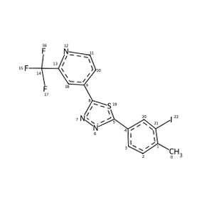 Cc1ccc(-c2nnc(-c3ccnc(C(F)(F)F)c3)s2)cc1I